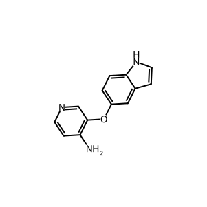 Nc1ccncc1Oc1ccc2[nH]ccc2c1